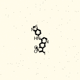 O=S1(=O)C=C(I)c2cc3nccc(Nc4ccc5scnc5c4)c3cc21